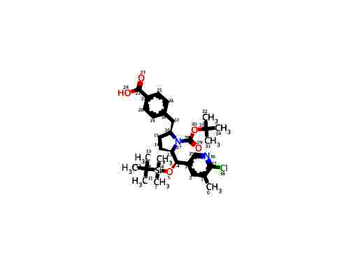 Cc1cc([C@@H](O[Si](C)(C)C(C)(C)C)[C@H]2CC[C@@H](Cc3ccc(C(=O)O)cc3)N2C(=O)OC(C)(C)C)cnc1Cl